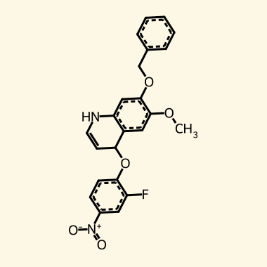 COc1cc2c(cc1OCc1ccccc1)NC=CC2Oc1ccc([N+](=O)[O-])cc1F